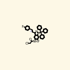 O=C(CCl)Nc1cc2c(/C=C/c3ccc(F)cc3)nn(C(c3ccccc3)(c3ccccc3)c3ccccc3)c2cc1F